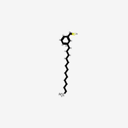 CCCCCCCCCCCCCCc1cccc(C=S)c1